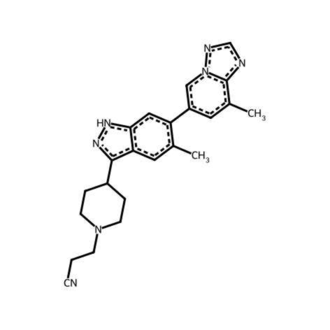 Cc1cc2c(C3CCN(CCC#N)CC3)n[nH]c2cc1-c1cc(C)c2ncnn2c1